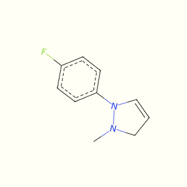 CN1CC=CN1c1ccc(F)cc1